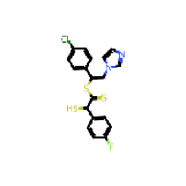 Fc1ccc(C(S)C(=S)SC(Cn2ccnc2)c2ccc(Cl)cc2)cc1